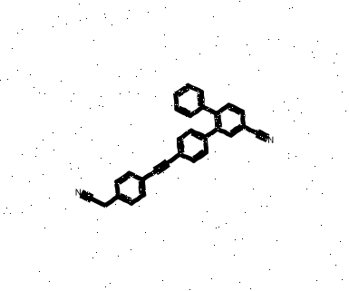 N#CCc1ccc(C#Cc2ccc(-c3cc(C#N)ccc3-c3ccccc3)cc2)cc1